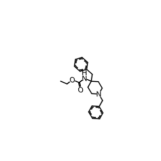 CCOC(=O)NC1(Cc2ccccc2)CCN(Cc2ccccc2)CC1